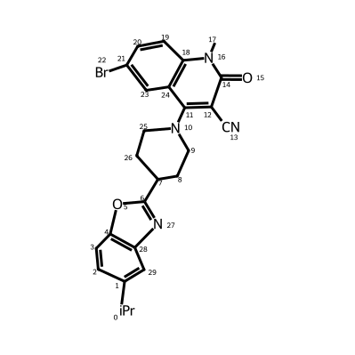 CC(C)c1ccc2oc(C3CCN(c4c(C#N)c(=O)n(C)c5ccc(Br)cc45)CC3)nc2c1